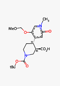 COCOc1cn(C)c(=O)cc1[C@H]1CCN(C(=O)OC(C)(C)C)C[C@@H]1C(=O)O